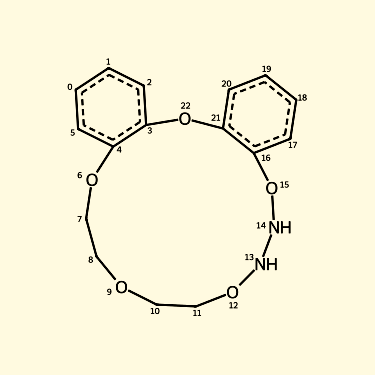 c1ccc2c(c1)OCCOCCONNOc1ccccc1O2